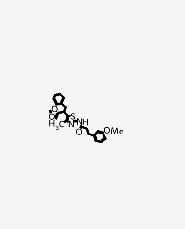 COc1cccc(CCC(=O)Nc2nc(C)c(C(Cc3ccccc3)C3=COCO3)s2)c1